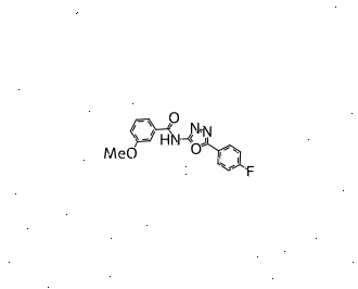 COc1cccc(C(=O)Nc2nnc(-c3ccc(F)cc3)o2)c1